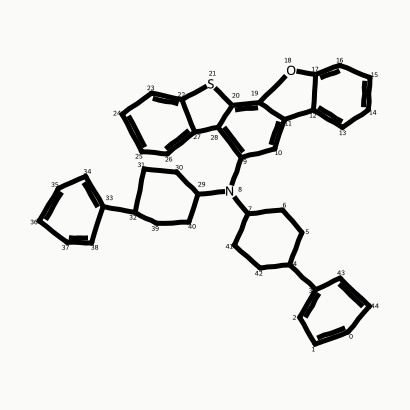 c1ccc(C2CCC(N(c3cc4c5ccccc5oc4c4sc5ccccc5c34)C3CCC(c4ccccc4)CC3)CC2)cc1